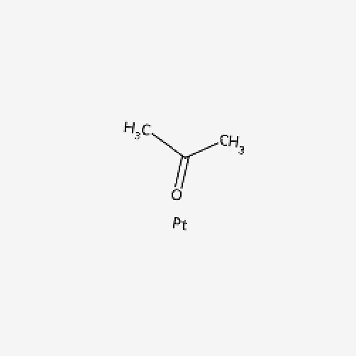 CC(C)=O.[Pt]